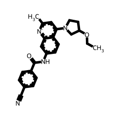 CCOC1CCN(c2cc(C)nc3cc(NC(=O)c4ccc(C#N)cc4)ccc23)C1